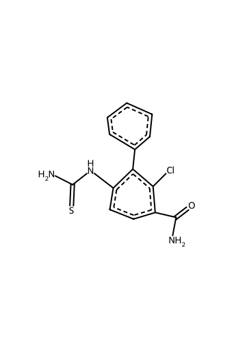 NC(=O)c1ccc(NC(N)=S)c(-c2ccccc2)c1Cl